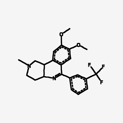 COc1cc2c(cc1OC)C1CN(C)CCC1N=C2c1cccc(C(F)(F)F)c1